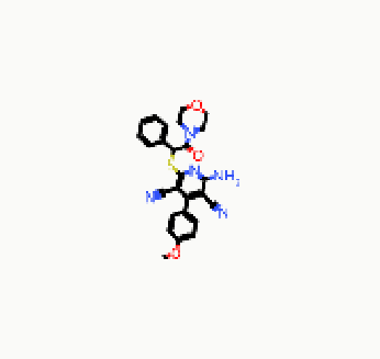 COc1ccc(-c2c(C#N)c(N)nc(SC(C(=O)N3CCOCC3)c3ccccc3)c2C#N)cc1